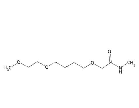 CNC(=O)COCCCCOCCOC